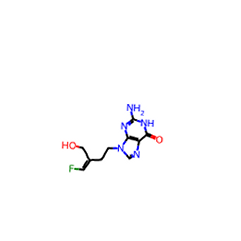 Nc1nc2c(ncn2CC/C(=C/F)CO)c(=O)[nH]1